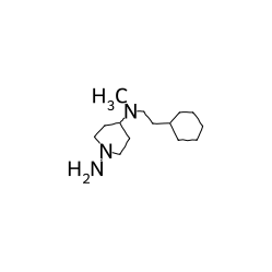 CN(CCC1CCCCC1)C1CCN(N)CC1